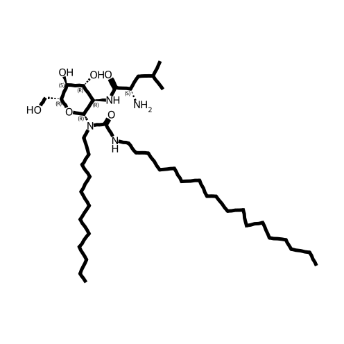 CCCCCCCCCCCCCCCCCCNC(=O)N(CCCCCCCCCCCC)[C@@H]1O[C@H](CO)[C@@H](O)[C@H](O)[C@H]1NC(=O)[C@@H](N)CC(C)C